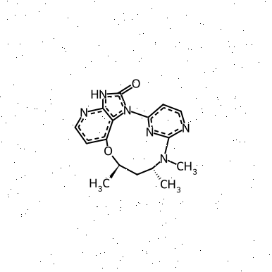 C[C@@H]1C[C@@H](C)N(C)c2nccc(n2)-n2c(=O)[nH]c3nccc(c32)O1